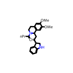 C=C(CCC)N1CCc2cc(OC)c(OC)cc2C1CCC1CNc2ccccc21